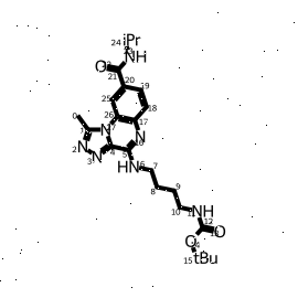 Cc1nnc2c(NCCCCNC(=O)OC(C)(C)C)nc3ccc(C(=O)NC(C)C)cc3n12